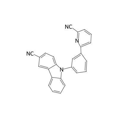 N#Cc1ccc2c(c1)c1ccccc1n2-c1cccc(-c2cccc(C#N)n2)c1